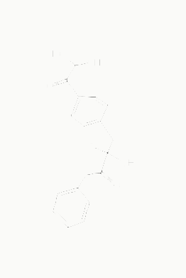 CC(C)C(=O)c1ccc(CC(C)(C)C(=O)Cc2ccccc2)cc1